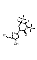 C[Si](C)(C)N1C(=O)N([C@H]2C[C@H](O)[C@@H](CO)O2)CC(F)([Si](C)(C)C)C1=O